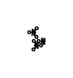 Cc1cc(C)nc(-c2cc(-c3ccc(-c4cc(-c5ccccc5)nc(-c5ccccc5)n4)cc3)ccc2-c2ccccc2-c2nc(-c3ccccc3)cc(-c3ccccc3)n2)n1